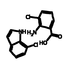 Clc1cccc2cc[nH]c12.Nc1c(Cl)cccc1C(=O)O